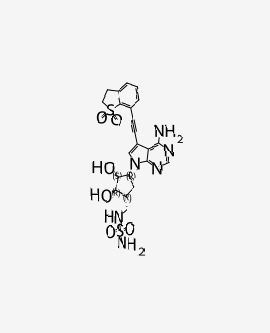 Nc1ncnc2c1c(C#Cc1cccc3c1S(=O)(=O)CC3)cn2[C@@H]1C[C@H](CNS(N)(=O)=O)[C@@H](O)[C@H]1O